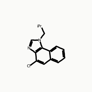 CC(C)Cn1cnc2c(Cl)cc3ccccc3c21